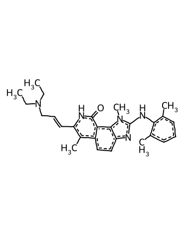 CCN(CC)C/C=C/c1[nH]c(=O)c2c(ccc3nc(Nc4c(C)cccc4C)n(C)c32)c1C